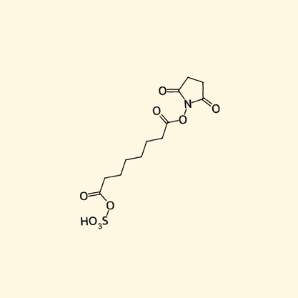 O=C(CCCCCCC(=O)OS(=O)(=O)O)ON1C(=O)CCC1=O